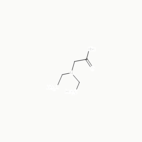 CC(C)(C)C(=O)CN(CC(=O)O)CC(=O)O